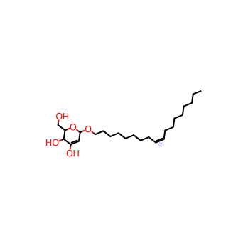 CCCCCCCC/C=C\CCCCCCCCOC1C=C(O)C(O)C(CO)O1